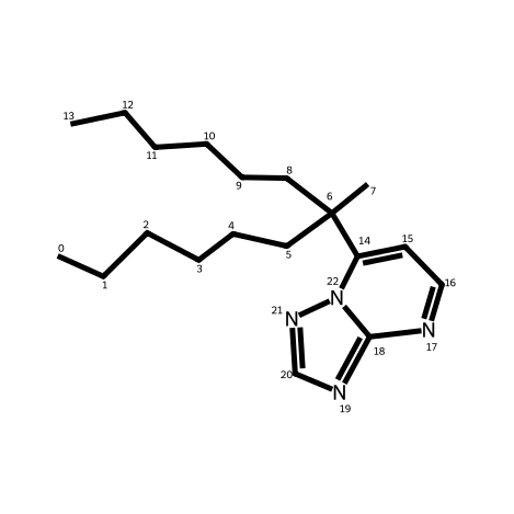 CCCCCCC(C)(CCCCCC)c1ccnc2ncnn12